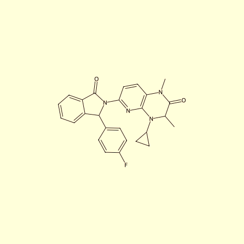 CC1C(=O)N(C)c2ccc(N3C(=O)c4ccccc4C3c3ccc(F)cc3)nc2N1C1CC1